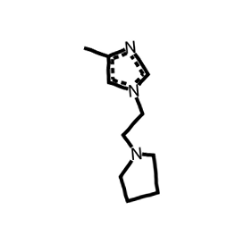 Cc1cn(CCN2CCCC2)cn1